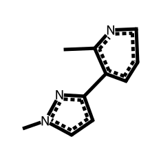 Cc1ncccc1-c1ccn(C)n1